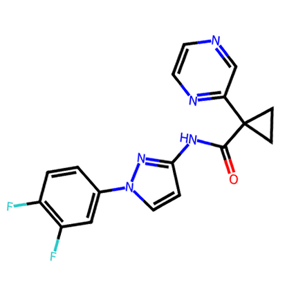 O=C(Nc1ccn(-c2ccc(F)c(F)c2)n1)C1(c2cnccn2)CC1